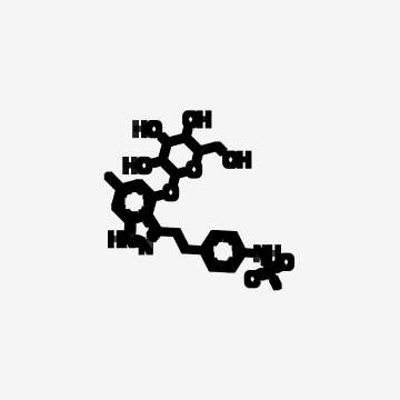 Cc1cc(OC2OC(CO)C(O)C(O)C2O)c2c(CCc3ccc(NS(C)(=O)=O)cc3)n[nH]c2c1